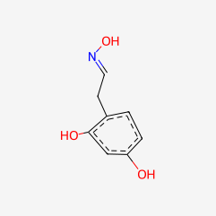 ON=CCc1ccc(O)cc1O